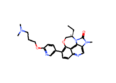 CC[C@@H]1COc2c(-c3ccc(OCCCN(C)C)nc3)ccc3ncc4c(c23)n1c(=O)n4C